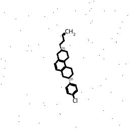 C=CCC[C@H]1CCc2c(ccc3c2CC[C@H](c2ccc(Cl)cc2)C3)C1